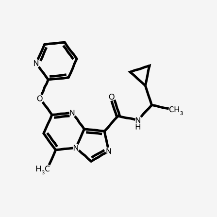 Cc1cc(Oc2ccccn2)nc2c(C(=O)NC(C)C3CC3)ncn12